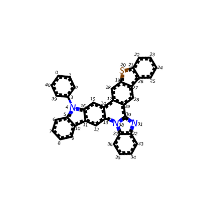 c1ccc(-n2c3ccccc3c3cc4c(cc32)c2cc3sc5ccccc5c3cc2c2nc3ccccc3n42)cc1